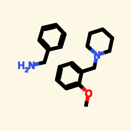 COc1ccccc1CN1CCCCC1.NCc1ccccc1